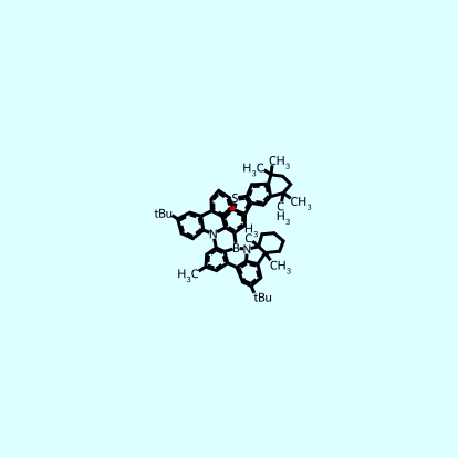 Cc1cc2c3c(c1)N(c1ccc(C(C)(C)C)cc1-c1ccccc1)c1cc4sc5cc6c(cc5c4cc1B3N1c3c-2cc(C(C)(C)C)cc3C2(C)CCCCC12C)C(C)(C)CCC6(C)C